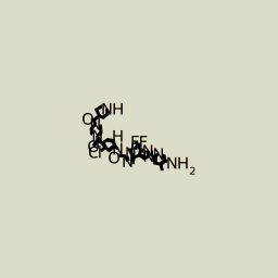 Cc1cc(-n2cc(-c3cnc(C(=O)Nc4ccc(C(=O)N5CCN(C(=O)C6CCNCC6)CC5)c(Cl)c4)n3C)c(C(F)(F)F)n2)ncc1N